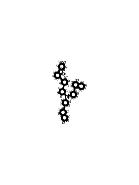 c1cc(-c2cccc(N(c3ccc(-c4ccc5ccccc5c4)cc3)c3cccc(-c4cccc5ccccc45)c3)c2)cc(-c2cccc3c2sc2ccccc23)c1